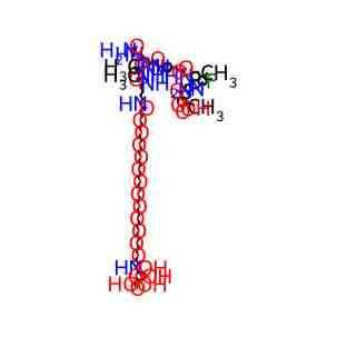 CC[C@@]1(O)C(=O)OCc2c1cc1n(c2=O)Cc2c-1nc1cc(F)c(C)c3c1c2[C@@H](NC(=O)OCc1ccc(NC(=O)[C@H](CCCNC(N)=O)NC(=O)[C@@H](NC(=O)[C@@H](N)CCCCNC(=O)CCOCCOCCOCCOCCOCCOCCOCCOCCOCCOCCOCCOCCNC2O[C@H](C(=O)O)[C@@H](O)[C@H](O)[C@H]2O)C(C)C)cc1)CC3